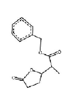 CC(C(=O)OCc1ccccc1)C1CCC(=O)O1